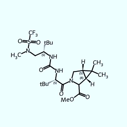 COC(=O)C1[C@@H]2[C@H](CN1C(=O)[C@@H](NC(=O)N[C@H](CN(C)S(=O)(=O)C(F)(F)F)C(C)(C)C)C(C)(C)C)C2(C)C